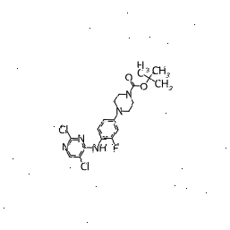 CC(C)(C)OC(=O)N1CCN(c2ccc(Nc3nc(Cl)ncc3Cl)c(F)c2)CC1